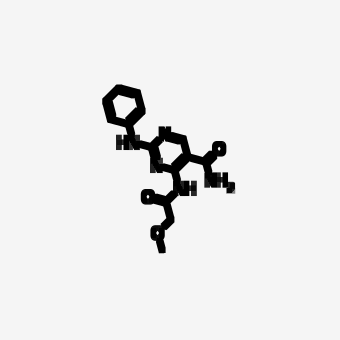 COCC(=O)Nc1nc(Nc2ccccc2)ncc1C(N)=O